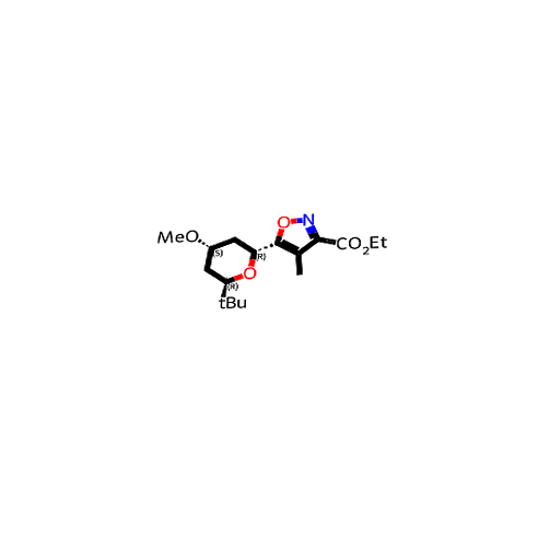 CCOC(=O)c1noc([C@H]2C[C@@H](OC)C[C@H](C(C)(C)C)O2)c1C